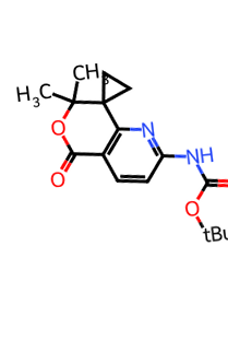 CC(C)(C)OC(=O)Nc1ccc2c(n1)C1(CC1)C(C)(C)OC2=O